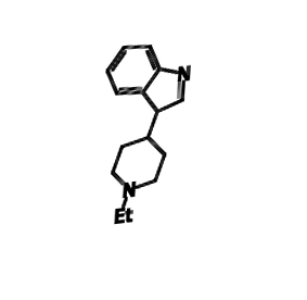 CCN1CCC(C2C=Nc3ccccc32)CC1